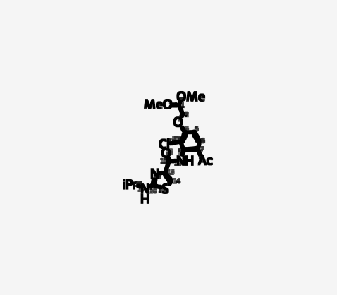 COC(COc1ccc(C(C)=O)c(NC(=O)c2csc(NC(C)C)n2)c1Cl)OC